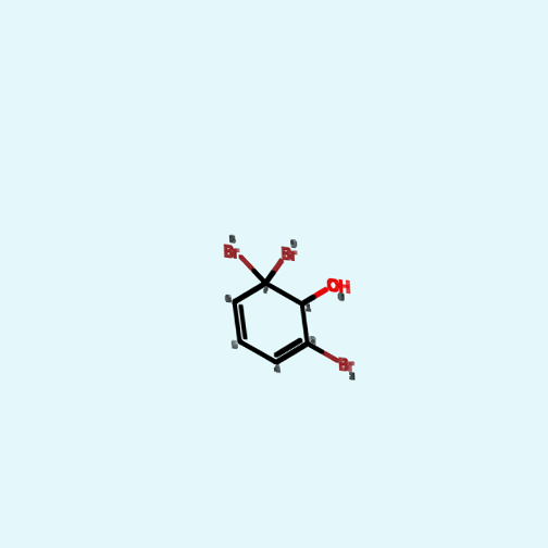 OC1C(Br)=CC=CC1(Br)Br